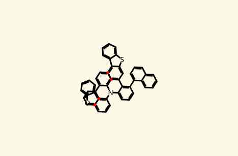 c1ccc(-c2ccccc2N(c2cccc(-c3cccc4ccccc34)c2-c2ccc3c(c2)sc2ccccc23)c2cccc3oc4ccccc4c23)cc1